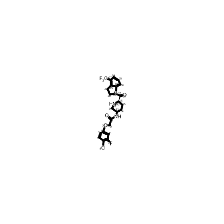 O=C(COc1ccc(Cl)c(F)c1)NC1CC[C@H](C(=O)N2CCc3c2cccc3C(F)(F)F)NC1